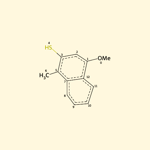 COc1cc(S)c(C)c2ccccc12